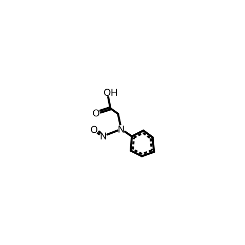 O=NN(CC(=O)O)c1ccccc1